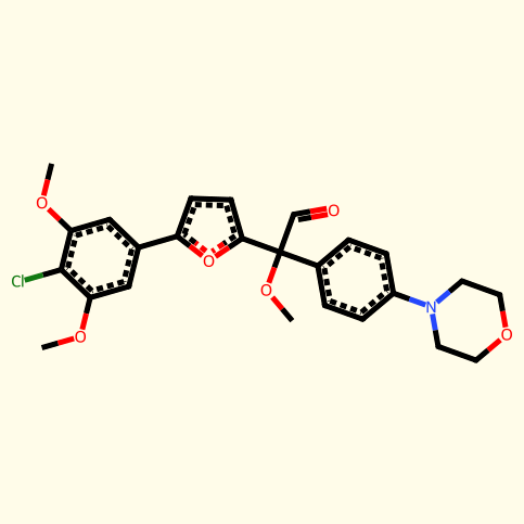 COc1cc(-c2ccc(C(C=O)(OC)c3ccc(N4CCOCC4)cc3)o2)cc(OC)c1Cl